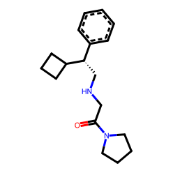 O=C(CNC[C@@H](c1ccccc1)C1CCC1)N1CCCC1